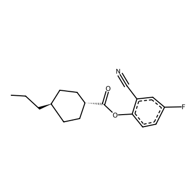 CCC[C@H]1CC[C@H](C(=O)Oc2ccc(F)cc2C#N)CC1